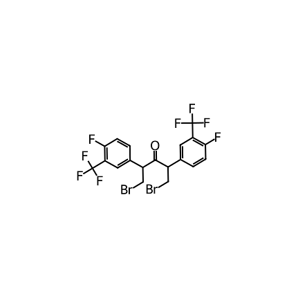 O=C(C(CBr)c1ccc(F)c(C(F)(F)F)c1)C(CBr)c1ccc(F)c(C(F)(F)F)c1